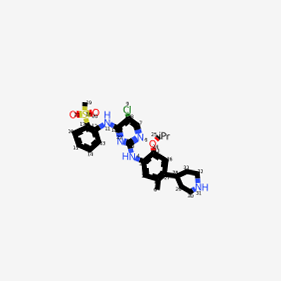 Cc1cc(Nc2ncc(Cl)c(Nc3ccccc3S(C)(=O)=O)n2)c(OC(C)C)cc1C1CCNCC1